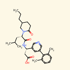 CCCC1CCC(=O)N([C@@H](CC(C)C)C(=O)N[C@@H](CC(=O)O)c2cncc(-c3c(C)cccc3C)c2)C1